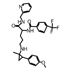 COc1ccc(C2CC2(C)NCCCC(NC(=O)c2ccc(C(F)(F)F)cc2)C(=O)NCc2ccccn2)cc1